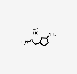 Cl.Cl.NOCC1CCC(N)C1